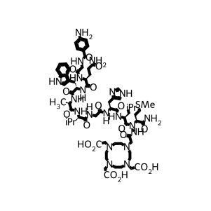 CSCC[C@@H](C(N)=O)N(NC(=O)CN1CCN(CC(=O)O)CCN(CC(=O)O)CCN(CC(=O)O)CC1)C(=O)[C@H](CC(C)C)NC(=O)[C@H](Cc1c[nH]cn1)NC(=O)CNC(=O)[C@@H](NC(=O)[C@H](C)NC(=O)[C@H](Cc1c[nH]c2ccccc12)NC(=O)[C@H](CCC(N)=O)NC(=O)CNC(=O)c1ccc(N)cc1)C(C)C